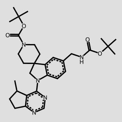 CC1CCc2ncnc(N3CC4(CCN(C(=O)OC(C)(C)C)CC4)c4cc(CNC(=O)OC(C)(C)C)ccc43)c21